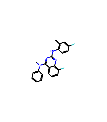 Cc1cc(F)ccc1Nc1nc(N(C)c2ccccc2)c2cccc(F)c2n1